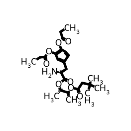 CCC(=O)Oc1ccc(C[C@H](N)C(=O)O[C@@H](C)C(C)OC(=O)CC(C)(C)C)cc1OC(=O)CC